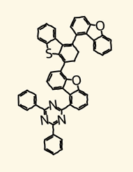 c1ccc(-c2nc(-c3ccccc3)nc(-c3cccc4oc5c(C6=c7sc8ccccc8c7=C(c7cccc8oc9ccccc9c78)CC6)cccc5c34)n2)cc1